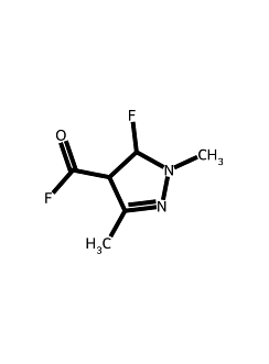 CC1=NN(C)C(F)C1C(=O)F